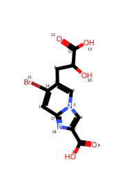 O=C(O)c1cn2cc(CC(O)C(=O)O)c(Br)cc2n1